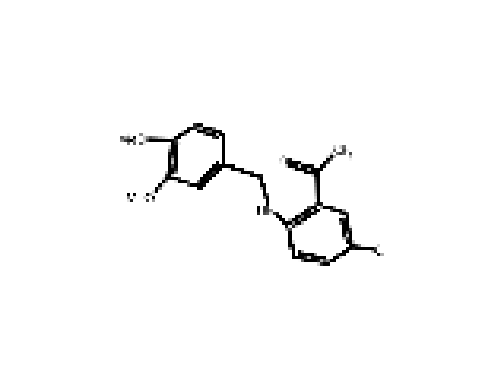 COc1ccc(CNc2ccc(Cl)cc2C(=O)C(F)(F)F)cc1OC